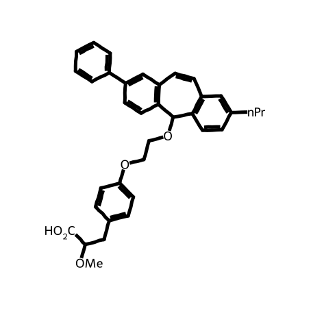 CCCc1ccc2c(c1)C=Cc1cc(-c3ccccc3)ccc1C2OCCOc1ccc(CC(OC)C(=O)O)cc1